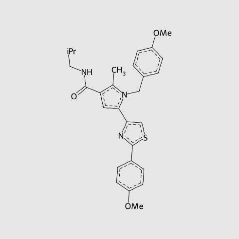 COc1ccc(Cn2c(-c3csc(-c4ccc(OC)cc4)n3)cc(C(=O)NCC(C)C)c2C)cc1